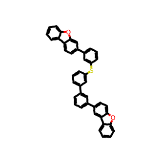 c1cc(Sc2cccc(-c3ccc4c(c3)oc3ccccc34)c2)cc(-c2cccc(-c3ccc4oc5ccccc5c4c3)c2)c1